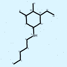 CCCCCBC1CC(C)C(C)C(CC)C1